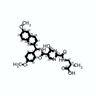 COc1ccc(C(NC(=O)c2cnc(C(=O)NC[C@H](C)C(=O)O)nc2O)c2ccc3cc(OC)ccc3n2)cc1